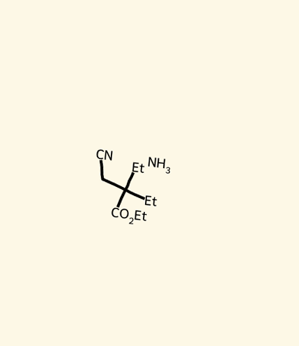 CCOC(=O)C(CC)(CC)CC#N.N